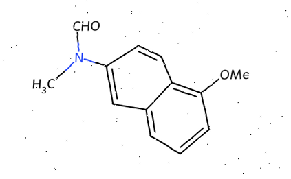 COc1cccc2cc(N(C)C=O)ccc12